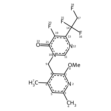 COc1nc(C)cc(C)c1Cn1cnc(C(F)(F)CF)c(F)c1=O